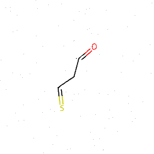 O=[C]CC=S